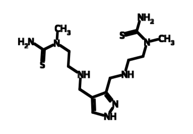 CN(CCNCc1c[nH]nc1CNCCN(C)C(N)=S)C(N)=S